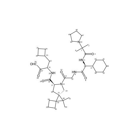 CC(C)(C(=O)N[C@H](C(=O)NCC(=O)N1C[C@]2(C[C@H]1C(=O)NC(CC1CCC1)C(=O)C=O)C(C)(C)C21CCC1)C1CCCCC1)N1CCCC1